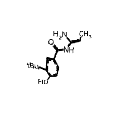 CC=C(N)NC(=O)c1ccc(O)c(C(C)(C)C)c1